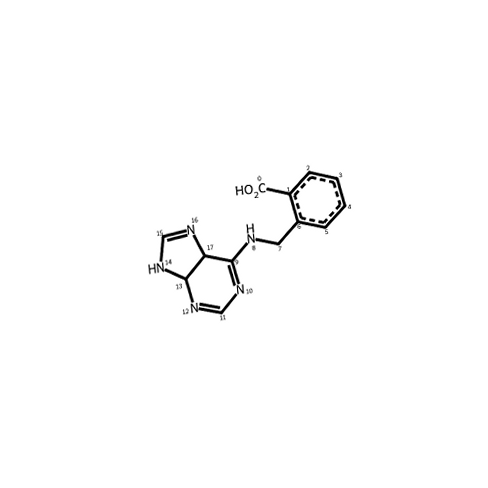 O=C(O)c1ccccc1CNC1=NC=NC2NC=NC12